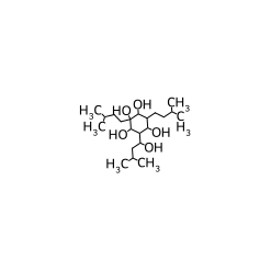 CC(C)CCC1C(O)C(C(O)CC(C)C)C(O)C(O)(CCC(C)C)C1O